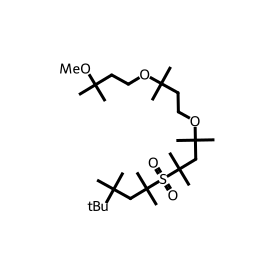 COC(C)(C)CCOC(C)(C)CCOC(C)(C)CC(C)(C)S(=O)(=O)C(C)(C)CC(C)(C)C(C)(C)C